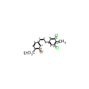 CCOC(=O)c1ccc(/C=C\Cc2cc(Cl)c(C)c(Cl)c2)cc1Br